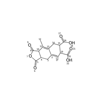 CC1=C2CC3C(=O)OC(=O)C3C(C)=C2CC(C(=O)O)C1C(=O)O